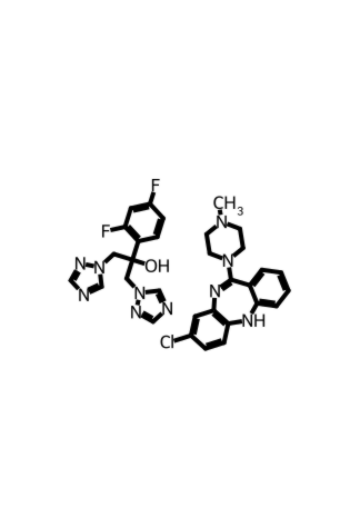 CN1CCN(C2=Nc3cc(Cl)ccc3Nc3ccccc32)CC1.OC(Cn1cncn1)(Cn1cncn1)c1ccc(F)cc1F